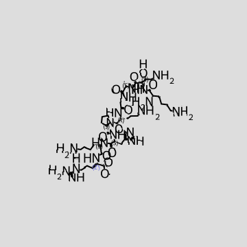 COC(=O)/C(=C/CCNC(=N)N)NC(=O)[C@H](CCCCN)NC(=O)[C@H](Cc1cnc[nH]1)NC(=O)[C@@H]1CCCN1C(=O)[C@@H](CCCN)NC(=O)CNC(=O)[C@H](C)NC(=O)[C@@H](NC(=O)C(N)CCCCN)[C@@H](O)CN